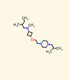 CCC(C)CN(C)[C@H]1C[C@H](OCCN2CCN(CC(C)C)CC2)C1